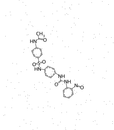 CC(=O)Nc1ccc(S(=O)(=O)Nc2ccc(NC(=O)Nc3ccccc3N=O)cc2)cc1